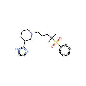 CC(C)(CCCN1CCCC(c2ncc[nH]2)C1)S(=O)(=O)c1ccccc1